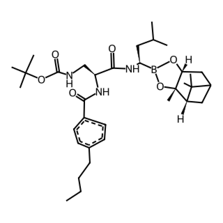 CCCCc1ccc(C(=O)N[C@@H](CNC(=O)OC(C)(C)C)C(=O)N[C@@H](CC(C)C)B2O[C@@H]3CC4C[C@@H](C4(C)C)[C@]3(C)O2)cc1